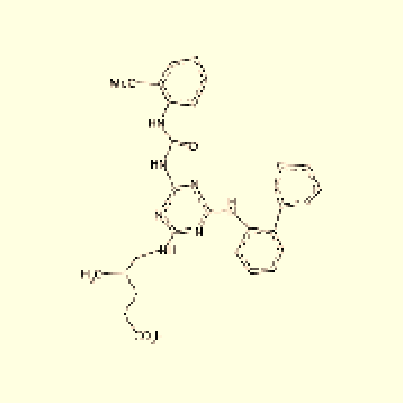 COc1ccccc1NC(=O)Nc1nc(NCC(C)CCC(=O)O)nc(Nc2ccccc2-c2ccccc2)n1